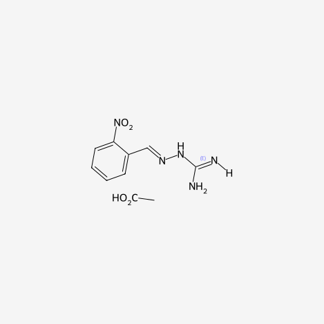 CC(=O)O.[H]/N=C(\N)NN=Cc1ccccc1[N+](=O)[O-]